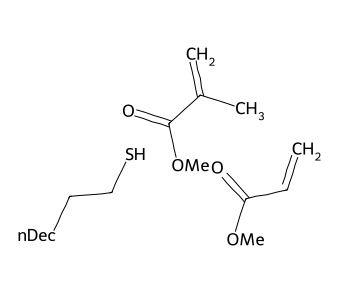 C=C(C)C(=O)OC.C=CC(=O)OC.CCCCCCCCCCCCS